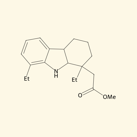 CCc1cccc2c1NC1C2CCCC1(CC)CC(=O)OC